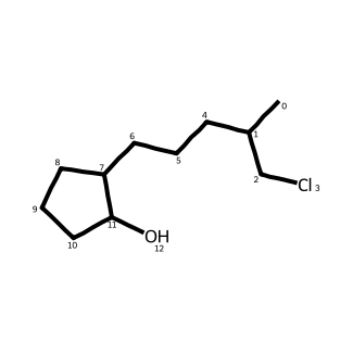 CC(CCl)CCCC1CCCC1O